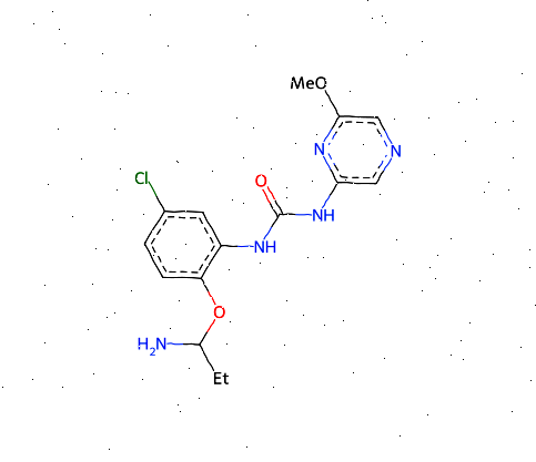 CCC(N)Oc1ccc(Cl)cc1NC(=O)Nc1cncc(OC)n1